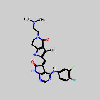 Cc1c(C=C2C(=O)Nc3ncnc(Nc4ccc(F)c(Cl)c4)c32)[nH]c2c1C(=O)N(CCN(C)C)CC2